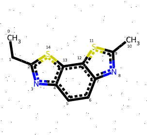 CCc1nc2ccc3nc(C)sc3c2s1